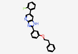 Fc1ccccc1-c1cnc2nc(-c3cccc(OCCc4ccccc4)c3)[nH]c2c1